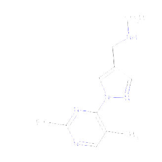 Cc1cnc(C(F)(F)F)nc1-n1cc(CNC(=O)O)cn1